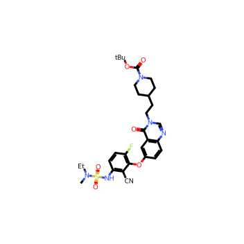 CCN(C)S(=O)(=O)Nc1ccc(F)c(Oc2ccc3ncn(CCC4CCN(C(=O)OC(C)(C)C)CC4)c(=O)c3c2)c1C#N